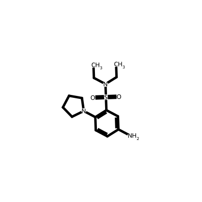 CCN(CC)S(=O)(=O)c1cc(N)ccc1N1CCCC1